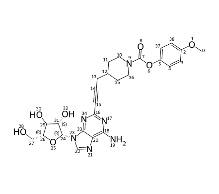 COc1ccc(OC(=O)N2CCC(CC#Cc3nc(N)c4ncn([C@@H]5O[C@H](CO)C(O)[C@@H]5O)c4n3)CC2)cc1